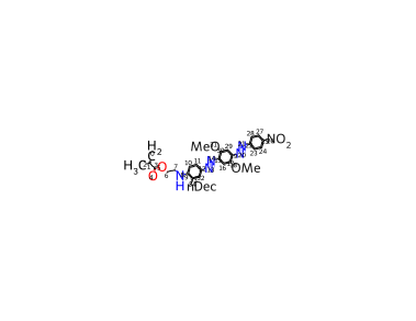 C=C(C)C(=O)OCCNc1ccc(/N=N/c2cc(OC)c(/N=N/c3ccc([N+](=O)[O-])cc3)cc2OC)cc1CCCCCCCCCC